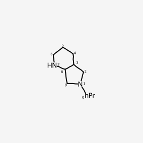 CCCN1CC2CCCNC2C1